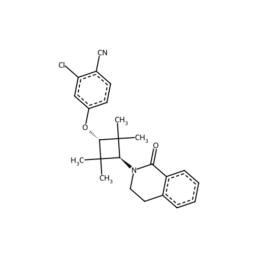 CC1(C)[C@H](Oc2ccc(C#N)c(Cl)c2)C(C)(C)[C@H]1N1CCc2ccccc2C1=O